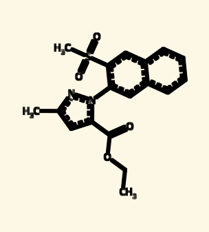 CCOC(=O)c1cc(C)nn1-c1cc2ccccc2cc1S(C)(=O)=O